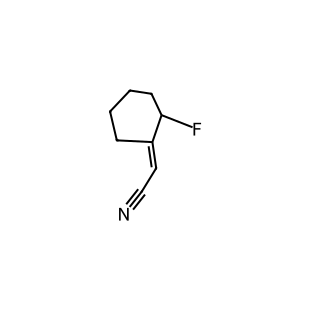 N#C/C=C1\CCCCC1F